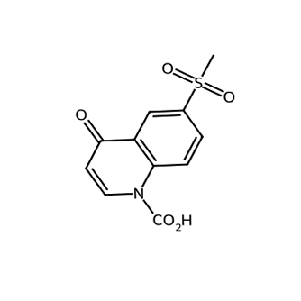 CS(=O)(=O)c1ccc2c(c1)c(=O)ccn2C(=O)O